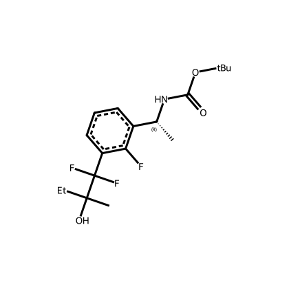 CCC(C)(O)C(F)(F)c1cccc([C@@H](C)NC(=O)OC(C)(C)C)c1F